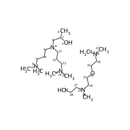 CC(O)CN(CCCN(C)C)CCCN(C)C.CN(C)CCOCCN(C)CCO